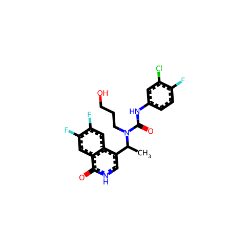 CC(c1c[nH]c(=O)c2cc(F)c(F)cc12)N(CCCO)C(=O)Nc1ccc(F)c(Cl)c1